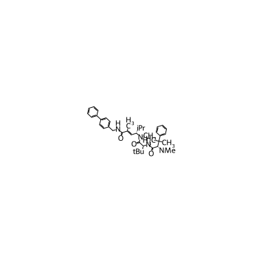 CN[C@H](C(=O)N[C@H](C(=O)N(C)[C@H](/C=C(\C)C(=O)NCc1ccc(-c2ccccc2)cc1)C(C)C)C(C)(C)C)C(C)(C)c1ccccc1